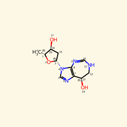 C[C@H]1O[C@@H](n2cnc3c2N=CNC[C@H]3O)C[C@@H]1O